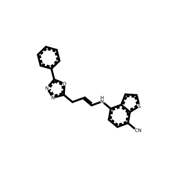 N#Cc1ccc(NC=CCc2nnc(-c3ccccc3)o2)c2ccsc12